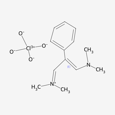 CN(C)/C=C(/C=[N+](C)C)c1ccccc1.[O-][Cl+3]([O-])([O-])[O-]